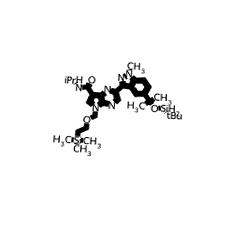 CC(C)NC(=O)c1cn(COCC[Si](C)(C)C)c2ncc(-c3nn(C)c4ccc(C(C)(C)O[SiH2]C(C)(C)C)cc34)nc12